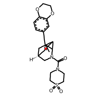 CC12C[C@@H]3CN(C(=O)N4CCS(=O)(=O)CC4)C1C2N(c1ccc2c(c1)OCCO2)C3